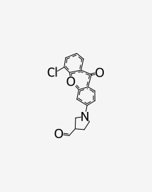 O=CC1CCN(c2ccc3c(=O)c4cccc(Cl)c4oc3c2)C1